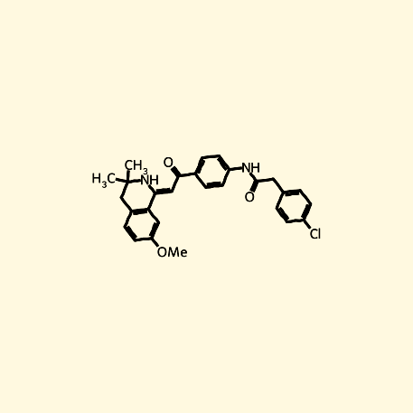 COc1ccc2c(c1)C(=CC(=O)c1ccc(NC(=O)Cc3ccc(Cl)cc3)cc1)NC(C)(C)C2